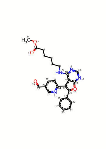 COC(=O)CCCCCNc1ncnc2oc(-c3ccccc3)c(-c3ccc(C=O)cn3)c12